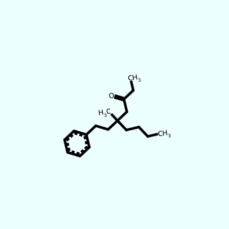 CCCCC(C)(CCc1ccccc1)CC(=O)CC